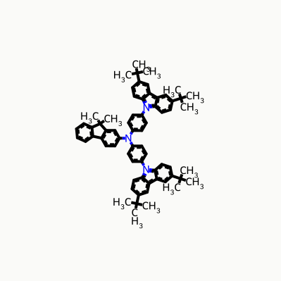 CC(C)(C)c1ccc2c(c1)c1cc(C(C)(C)C)ccc1n2-c1ccc(N(c2ccc(-n3c4ccc(C(C)(C)C)cc4c4cc(C(C)(C)C)ccc43)cc2)c2ccc3c(c2)C(C)(C)c2ccccc2-3)cc1